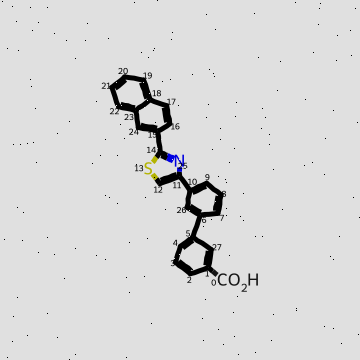 O=C(O)c1cccc(-c2cccc(-c3csc(-c4ccc5ccccc5c4)n3)c2)c1